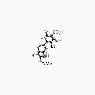 CCc1c(-c2ccc3c(F)c(CNC)[nH]c3c2)[nH]c(=O)c(C(=O)O)c1O